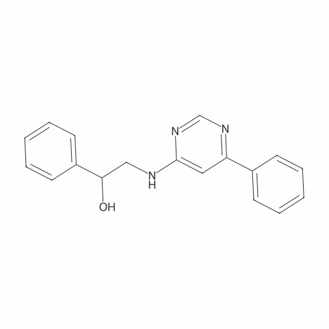 OC(CNc1cc(-c2ccccc2)ncn1)c1ccccc1